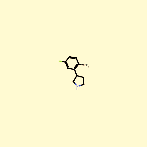 Fc1ccc(C(F)(F)F)c(C2CCNC2)c1